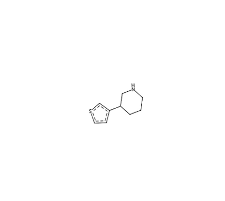 c1cc(C2CCCNC2)cs1